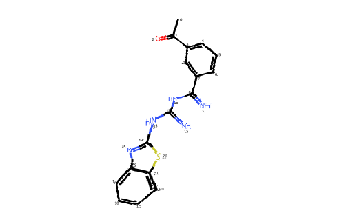 CC(=O)c1cccc(C(=N)NC(=N)Nc2nc3ccccc3s2)c1